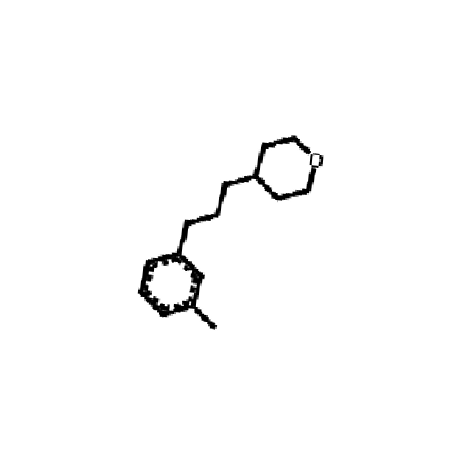 Cc1cccc(CCCC2CCOCC2)c1